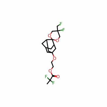 CC(F)(F)C(=O)OCCOC12CC3CC(C1)C1(OCC(F)(CF)CO1)C(C3)C2